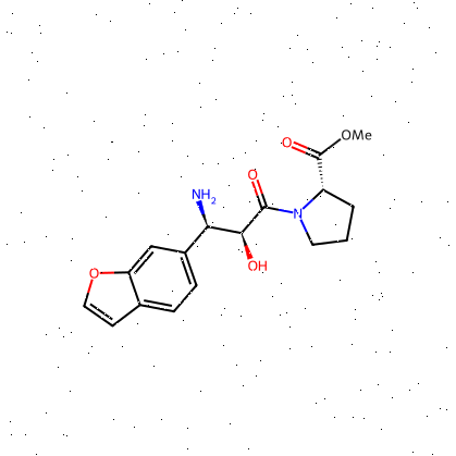 COC(=O)[C@@H]1CCCN1C(=O)[C@@H](O)[C@H](N)c1ccc2ccoc2c1